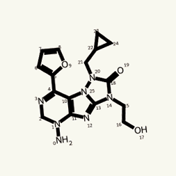 NN1CN=C(c2ccco2)c2c1nc1n(CCO)c(=O)n(CC3CC3)n21